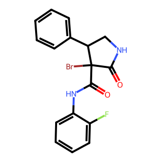 O=C1NCC(c2ccccc2)C1(Br)C(=O)Nc1ccccc1F